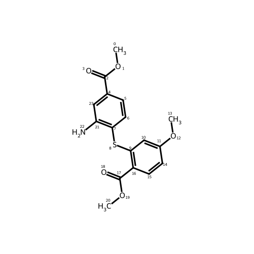 COC(=O)c1ccc(Sc2cc(OC)ccc2C(=O)OC)c(N)c1